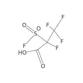 O=C(O)C(F)(C(F)(F)F)S(=O)(=O)F